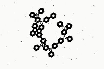 c1ccc(-c2ccc(N(c3ccc4c(c3)C3(c5ccccc5-c5ccccc53)c3ccc(-c5ccc6c7cc(N(c8ccccc8)c8ccc(-c9ccc(N(c%10ccccc%10)c%10ccc%11c(c%10)c%10ccccc%10n%11-c%10ccccc%10)cc9)cc8)ccc7n(-c7ccccc7)c6c5)cc3-4)c3ccc4c5ccccc5n(-c5ccccc5)c4c3)cc2)cc1